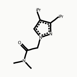 CC(C)c1cn(CC(=O)N(C)C)nc1C(C)C